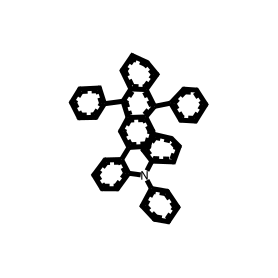 c1ccc(-c2c3ccccc3c(-c3ccccc3)c3cc(-c4ccccc4N(c4ccccc4)c4ccccc4)ccc23)cc1